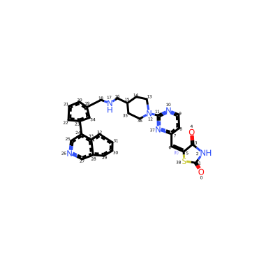 O=C1NC(=O)/C(=C\c2ccnc(N3CCC(CNCc4cccc(-c5cncc6ccccc56)c4)CC3)n2)S1